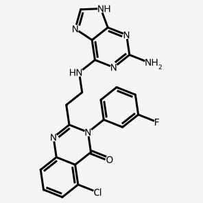 Nc1nc(NCCc2nc3cccc(Cl)c3c(=O)n2-c2cccc(F)c2)c2nc[nH]c2n1